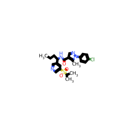 CCCC(NC(=O)c1cnn(-c2ccc(Cl)cc2)c1C)c1cncc(S(=O)(=O)C(C)C)c1